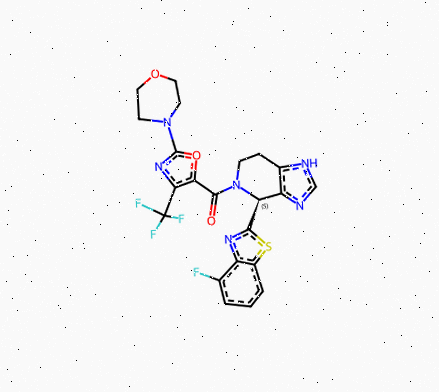 O=C(c1oc(N2CCOCC2)nc1C(F)(F)F)N1CCc2[nH]cnc2[C@H]1c1nc2c(F)cccc2s1